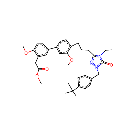 CCn1c(CCCc2ccc(-c3ccc(OC)c(CC(=O)OC)c3)cc2OC)nn(Cc2ccc(C(C)(C)C)cc2)c1=O